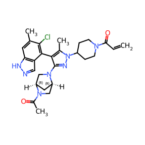 C=CC(=O)N1CCC(n2nc(N3C[C@H]4C[C@@H]3CN4C(C)=O)c(-c3c(Cl)c(C)cc4[nH]ncc34)c2C)CC1